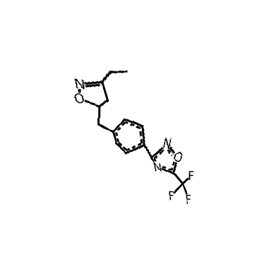 CCC1=NOC(Cc2ccc(-c3noc(C(F)(F)F)n3)cc2)C1